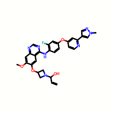 C=CC(O)N1CC(Oc2cc3c(Nc4ccc(Oc5ccnc(-c6cnn(C)c6)c5)cc4F)ncnc3cc2OC)C1